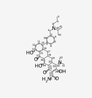 CCCN(Cc1cccc(-c2ccc(O)c3c2CC2CC4C(C(=O)C(C(N)=O)=C(O)[C@H]4N(C)C)C(O)=C2C3=O)c1)C(C)C